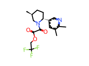 Cc1cc([C@H]2CC[C@H](C)CN2C(=O)C(=O)OCC(F)(F)F)cnc1C